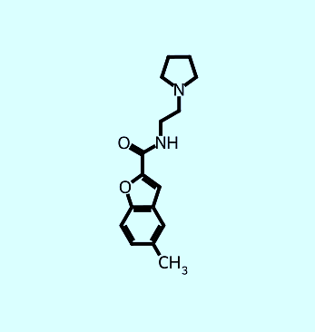 Cc1ccc2oc(C(=O)NCCN3CCCC3)cc2c1